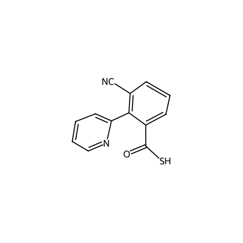 N#Cc1cccc(C(=O)S)c1-c1ccccn1